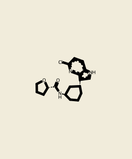 O=C(N[C@H]1CCC[C@@H](c2c[nH]c3ccc(Cl)nc23)C1)[C@@H]1CCCO1